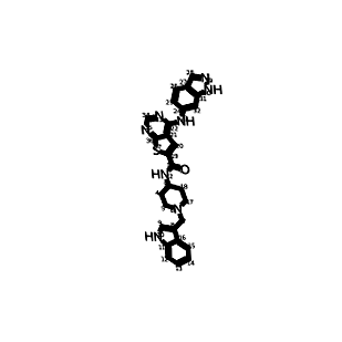 O=C(NC1CCN(Cc2c[nH]c3ccccc23)CC1)c1cc2c(Nc3ccc4cn[nH]c4c3)ncnc2s1